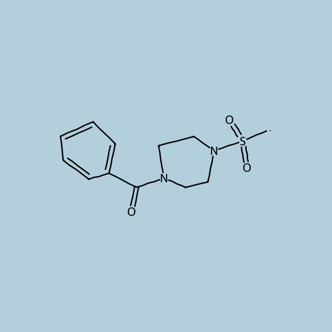 [CH2]S(=O)(=O)N1CCN(C(=O)c2ccccc2)CC1